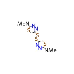 CNC1=NN=C(SSC2=NN=C(NC)SC2)CS1